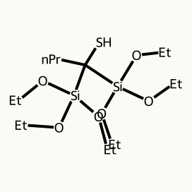 CCCC(S)([Si](OCC)(OCC)OCC)[Si](OCC)(OCC)OCC